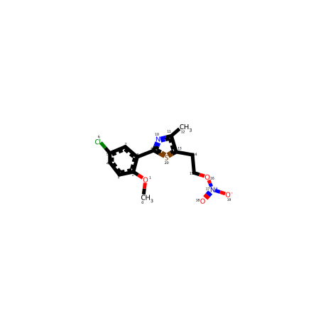 COc1ccc(Cl)cc1-c1nc(C)c(CCO[N+](=O)[O-])s1